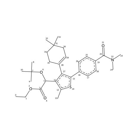 CCOC(=O)C(OC(C)(C)C)c1c(C)sc(-c2ccc(C(=O)N(C)C)cc2)c1C1=CCC(C)(C)CC1